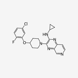 Fc1ccc(Cl)cc1OC1CCN(c2nc3cnccc3nc2NC2CC2)CC1